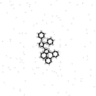 c1ccc(-c2ccccc2-c2oc(-c3ncn(-c4ccccc4)c3-c3ccccc3)c3ccccc23)cc1